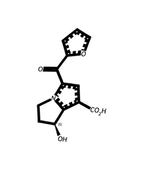 O=C(O)c1cc(C(=O)c2ccco2)n2c1[C@@H](O)CC2